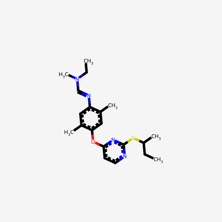 CCC(C)Sc1nccc(Oc2cc(C)c(N=CN(C)CC)cc2C)n1